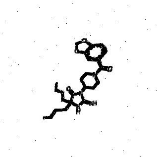 CCCCC1(CCCC)NC(=N)N(C2CCN(C(=O)c3ccc4c(c3)OCO4)CC2)C1=O